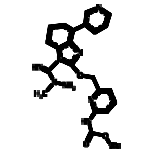 CN(N)C(=N)n1c(OCc2cccc(NC(=O)OC(C)(C)C)n2)nc2c(-c3cccnc3)cccc21